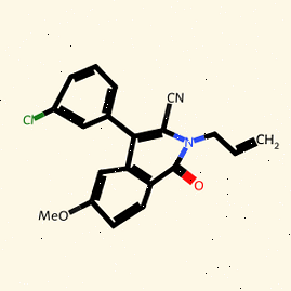 C=CCn1c(C#N)c(-c2cccc(Cl)c2)c2cc(OC)ccc2c1=O